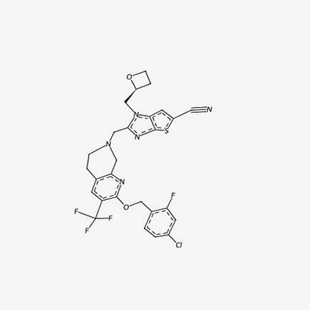 N#Cc1cc2c(nc(CN3CCc4cc(C(F)(F)F)c(OCc5ccc(Cl)cc5F)nc4C3)n2C[C@@H]2CCO2)s1